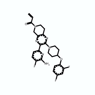 C=CC(=O)N1CCc2nc(N3CCC(Oc4ccc(F)cc4F)CC3)c(-c3ccc(F)c(N)n3)nc2C1